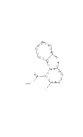 COC(=O)c1c(N)ccc2oc3ccccc3c12